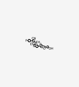 CCc1nc2ccc(-c3cnc(CC(=O)N4CCC(O)C4)cn3)cn2c1N(C)c1nc(-c2ccc(F)cc2)c(C#N)s1